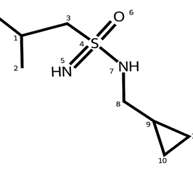 CC(C)CS(=N)(=O)NCC1CC1